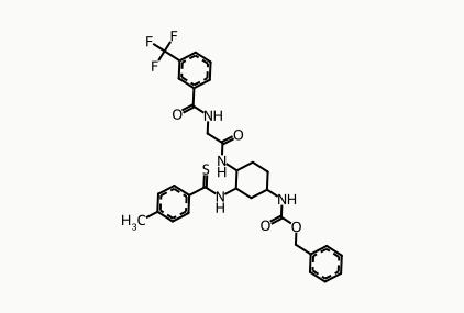 Cc1ccc(C(=S)NC2CC(NC(=O)OCc3ccccc3)CCC2NC(=O)CNC(=O)c2cccc(C(F)(F)F)c2)cc1